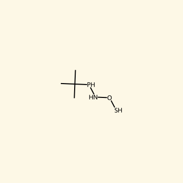 CC(C)(C)PNOS